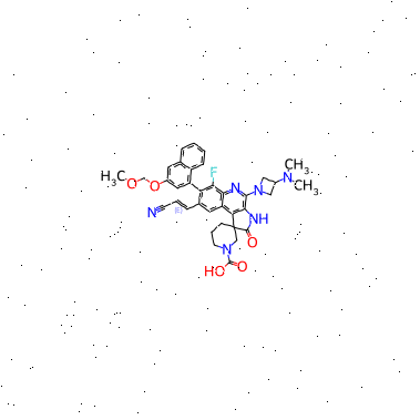 COCOc1cc(-c2c(/C=C/C#N)cc3c4c(c(N5CC(N(C)C)C5)nc3c2F)NC(=O)C42CCCN(C(=O)O)C2)c2ccccc2c1